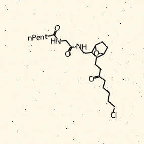 CCCCCC(=O)NCC(=O)NCC1C2CCC(O2)C1CCC(=O)CCCCCCl